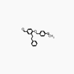 COc1ccc(COc2ccc(C=O)cc2CCc2ccccc2)cc1